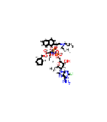 CCN(CC)CCc1ccc2ccccc2c1OP(=O)(NC(C)(C)C(=O)OCc1ccccc1)OP(=O)(O)OC[C@H]1OC(C)[C@@H](n2cnc3c(N)nc(Cl)nc32)C[C@H]1O